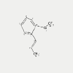 [CH2]/C=C/c1ccccc1OC(F)(F)F